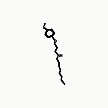 CCCCCCCCNCCCOc1ccc(SC)cc1